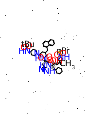 CCCS(=O)(=O)NC[C@@H](C)C[C@H](O)[C@H](CC1CCCCC1)NC(=O)[C@H](Cc1c[nH]cn1)NC(=O)C(CC(=O)N1CCC(NC(=O)OC(C)(C)C)CC1)Cc1cccc2ccccc12